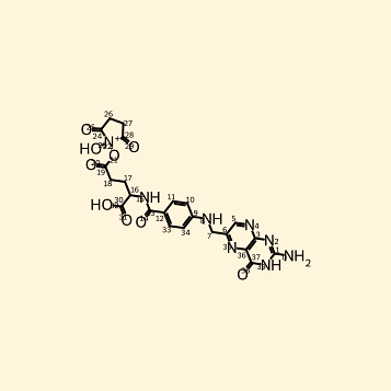 Nc1nc2ncc(CNc3ccc(C(=O)NC(CCC(=O)O[N+]4(O)C(=O)CCC4=O)C(=O)O)cc3)nc2c(=O)[nH]1